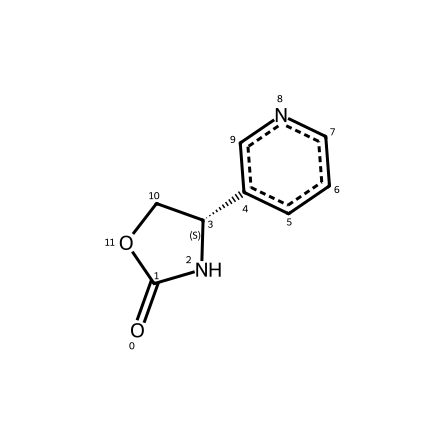 O=C1N[C@@H](c2cccnc2)CO1